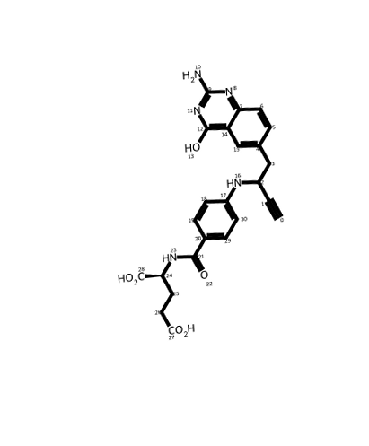 C#CC(Cc1ccc2nc(N)nc(O)c2c1)Nc1ccc(C(=O)N[C@@H](CCC(=O)O)C(=O)O)cc1